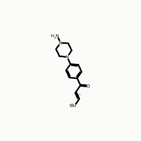 CC(C)(C)/C=C/C(=O)c1ccc(N2CCN(N)CC2)cc1